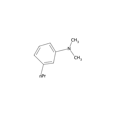 [CH2]CCc1cccc(N(C)C)c1